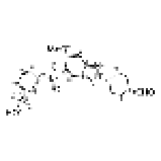 COc1cc2nn([C@H]3CC[C@H](C=O)CC3)cc2cc1NC(=O)c1cccc(C(C)(C)O)n1